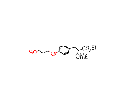 CCOC(=O)[C@H](Cc1ccc(OCCCO)cc1)OC